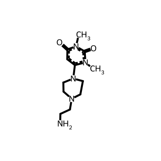 Cn1c(N2CCN(CCN)CC2)cc(=O)n(C)c1=O